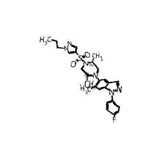 CCCn1cc(S(=O)(=O)N2C[C@H](C)N(c3cc4cnn(-c5ccc(F)cc5)c4cc3C)C[C@@H]2C)cn1